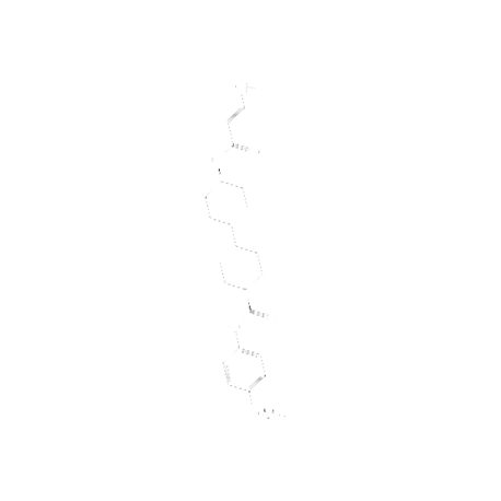 C/C=C/C(=O)O[C@H]1CC[C@H]([C@H]2CC[C@H](C(=O)Oc3ccc(OC)cc3)CC2)CC1